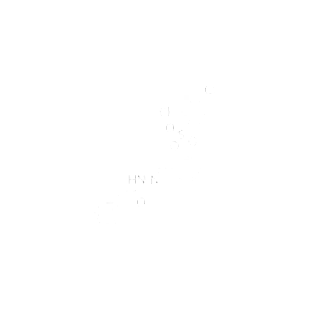 O=C(Cc1ccccc1)N/N=C/c1ccccc1OS(=O)(=O)c1ccc(Cl)cc1Cl